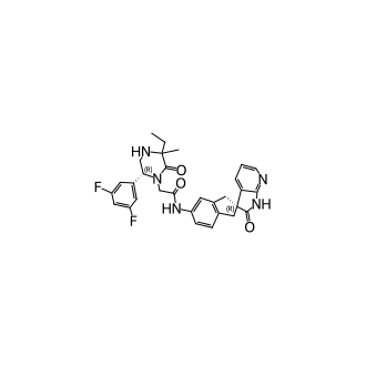 CCC1(C)NC[C@@H](c2cc(F)cc(F)c2)N(CC(=O)Nc2ccc3c(c2)C[C@@]2(C3)C(=O)Nc3ncccc32)C1=O